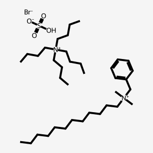 CCCCCCCCCCCC[N+](C)(C)Cc1ccccc1.CCCC[N+](CCCC)(CCCC)CCCC.O=S(=O)([O-])O.[Br-]